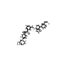 Nc1nccc(-c2cnc(NCc3cccc(C(=O)Nc4ccc(N5CCCNCC5)cn4)c3)c3c2OCC3)n1